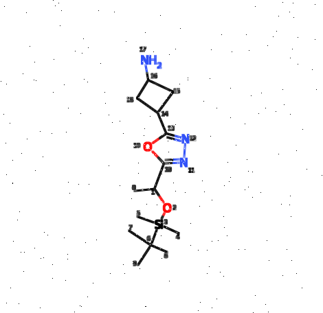 CC(O[Si](C)(C)C(C)(C)C)c1nnc(C2CC(N)C2)o1